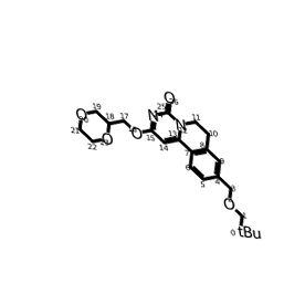 CC(C)(C)COCc1ccc2c(c1)CCn1c-2cc(OCC2COCCO2)nc1=O